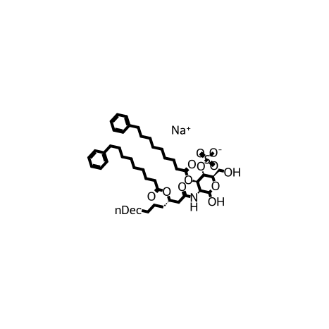 CCCCCCCCCCCCC[C@@H](CC(=O)N[C@H]1C(O)O[C@H](CO)[C@@H](OS(=O)(=O)[O-])[C@@H]1OC(=O)CCCCCCCCc1ccccc1)OC(=O)CCCCCCCCc1ccccc1.[Na+]